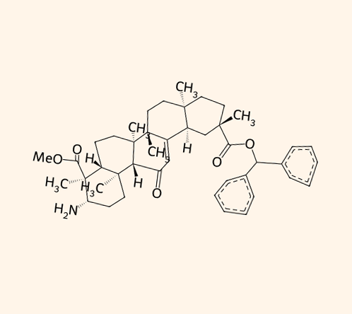 COC(=O)[C@@]1(C)[C@@H]2CC[C@]3(C)[C@H](C(=O)C=C4[C@@H]5C[C@@](C)(C(=O)OC(c6ccccc6)c6ccccc6)CC[C@]5(C)CC[C@]43C)[C@@]2(C)CC[C@@H]1N